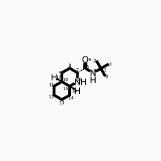 CC(C)(C)NC(=O)[C@H]1CC[C@H]2CCCC[C@H]2N1